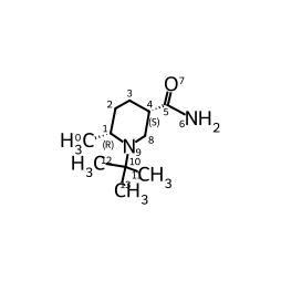 C[C@@H]1CC[C@H](C(N)=O)CN1C(C)(C)C